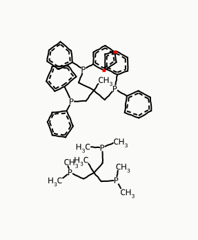 CC(CP(c1ccccc1)c1ccccc1)(CP(c1ccccc1)c1ccccc1)CP(c1ccccc1)c1ccccc1.CP(C)CC(C)(CP(C)C)CP(C)C